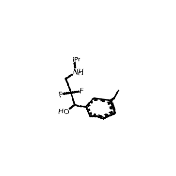 Cc1cccc(C(O)C(F)(F)CNC(C)C)c1